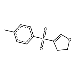 Cc1ccc(S(=O)(=O)C2=COCC2)cc1